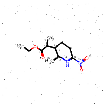 CCOC(=O)C(C)C1CCC([N+](=O)[O-])NC1C